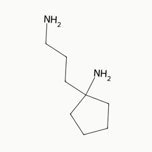 NCCCC1(N)CCCC1